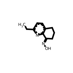 CCc1ccc2c(n1)C(=NO)CCC2